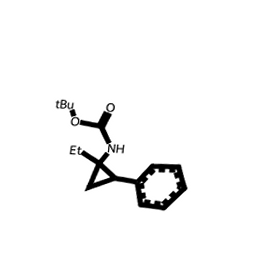 CCC1(NC(=O)OC(C)(C)C)CC1c1ccccc1